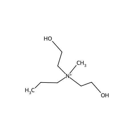 CCC[N+](C)(CCO)CCO